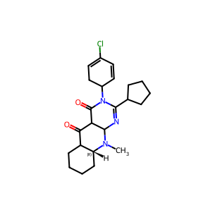 CN1C2N=C(C3CCCC3)N(C3C=CC(Cl)=CC3)C(=O)C2C(=O)C2CCCC[C@H]21